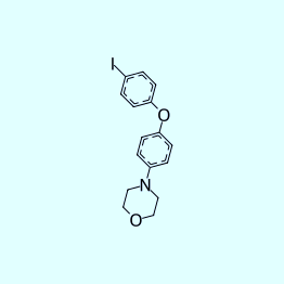 Ic1ccc(Oc2ccc(N3CCOCC3)cc2)cc1